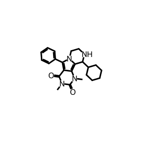 Cn1c(=O)c2c(-c3ccccc3)n3c(c2n(C)c1=O)C(C1CCCCC1)NCC3